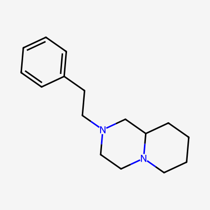 c1ccc(CCN2CCN3CCCCC3C2)cc1